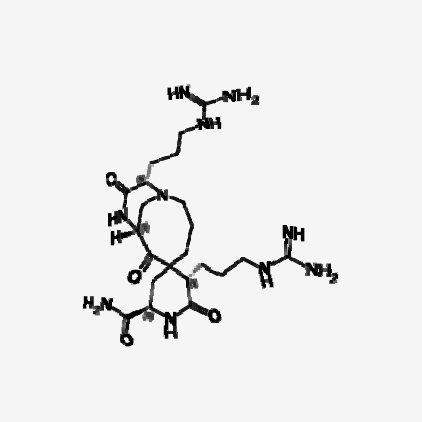 N=C(N)NCCC[C@@H]1C(=O)N[C@@H](C(N)=O)CC12CCCN1C[C@@H](NC(=O)[C@@H]1CCCNC(=N)N)C2=O